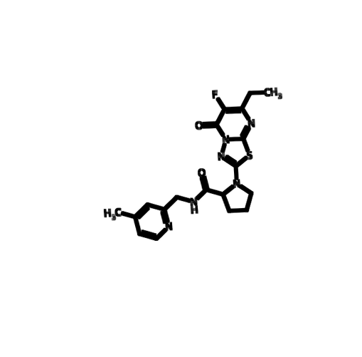 CCc1nc2sc(N3CCCC3C(=O)NCc3cc(C)ccn3)nn2c(=O)c1F